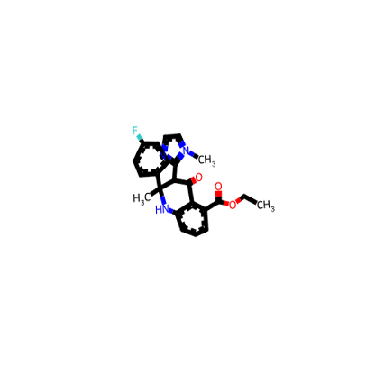 CCOC(=O)c1cccc2c1C(=O)C(c1nccn1C)C(C)(c1ccc(F)cc1)N2